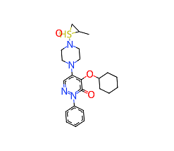 CC1C[SH]1(=O)N1CCN(c2cnn(-c3ccccc3)c(=O)c2OC2CCCCC2)CC1